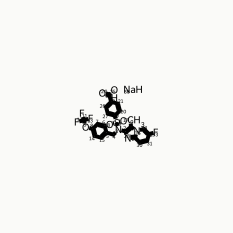 Cc1c(N(Cc2ccc(OC(F)(F)F)cc2)S(=O)(=O)c2ccc(C(=O)O)cc2)nc2ccc(F)cn12.[NaH]